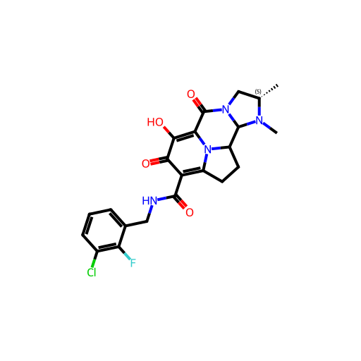 C[C@H]1CN2C(=O)c3c(O)c(=O)c(C(=O)NCc4cccc(Cl)c4F)c4n3C(CC4)C2N1C